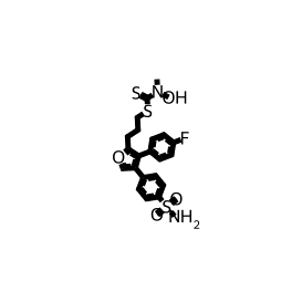 CN(O)C(=S)SCCCc1occ(-c2ccc(S(N)(=O)=O)cc2)c1-c1ccc(F)cc1